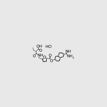 CCC(C(=O)O)C(=O)NCc1ccc(C(=O)Oc2ccc3cc(C(=N)N)ccc3c2)o1.Cl